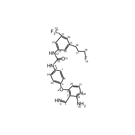 N=Cc1c(Oc2ccc(NC(=O)Nc3cc(CCCF)cc(C(F)(F)F)c3)cc2)ccnc1N